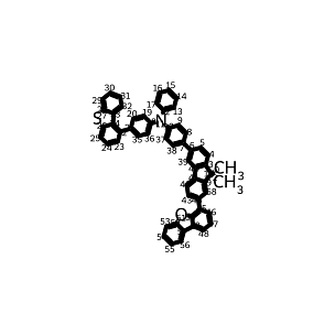 CC1(C)c2ccc(-c3ccc(N(c4ccccc4)c4ccc(-c5cccc6sc7ccccc7c56)cc4)cc3)cc2-c2ccc(-c3cccc4c3oc3ccccc34)cc21